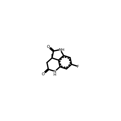 CC12CC(=O)Nc3cc(F)cc(c31)NC2=O